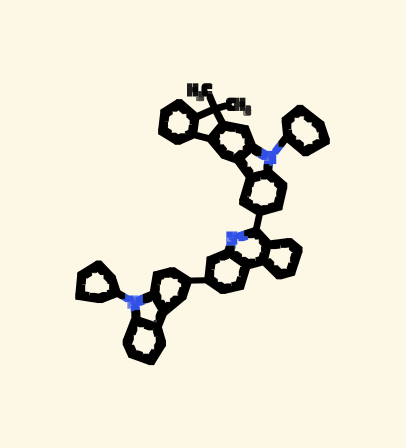 CC1(C)c2ccccc2-c2cc3c4cc(-c5nc6cc(-c7ccc8c(c7)c7ccccc7n8-c7ccccc7)ccc6c6ccccc56)ccc4n(-c4ccccc4)c3cc21